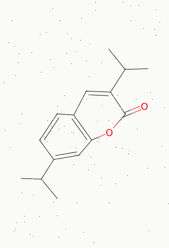 CC(C)c1ccc2cc(C(C)C)c(=O)oc2c1